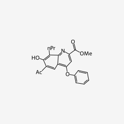 CCCc1c(O)c(C(C)=O)cc2c(Oc3ccccc3)cc(C(=O)OC)nc12